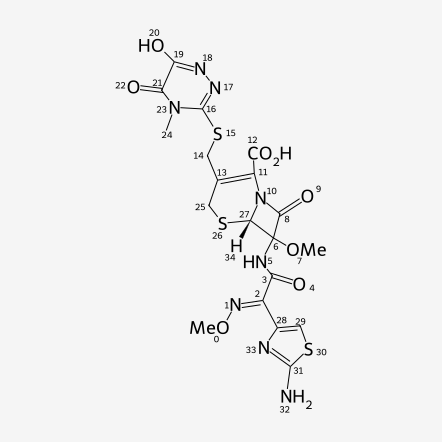 CON=C(C(=O)NC1(OC)C(=O)N2C(C(=O)O)=C(CSc3nnc(O)c(=O)n3C)CS[C@H]21)c1csc(N)n1